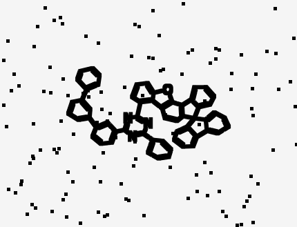 c1ccc(-c2cccc(-c3cccc(-c4nc(-c5ccccc5)nc(-c5cccc6oc7c8c(ccc7c56)C5(c6ccccc6-c6ccccc65)c5ccccc5-8)n4)c3)c2)cc1